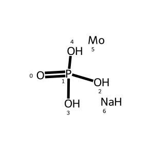 O=P(O)(O)O.[Mo].[NaH]